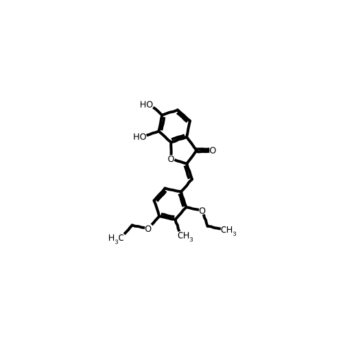 CCOc1ccc(C=C2Oc3c(ccc(O)c3O)C2=O)c(OCC)c1C